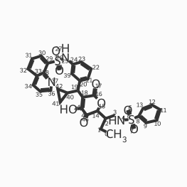 CCC(CNS(=O)(=O)c1ccccc1)C1OC(=O)C(C(c2cccc(NS(=O)(=O)c3cccc4cccnc34)c2)C2CC2)=C(O)C1=O